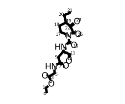 CCOC(=O)CNC(=O)CC(C=O)NC(=O)N1CCC(CC)C(=O)C1=O